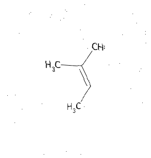 [CH]C(C)=CC